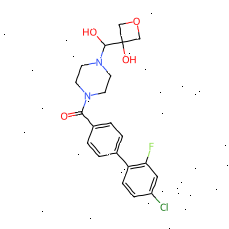 O=C(c1ccc(-c2ccc(Cl)cc2F)cc1)N1CCN(C(O)C2(O)COC2)CC1